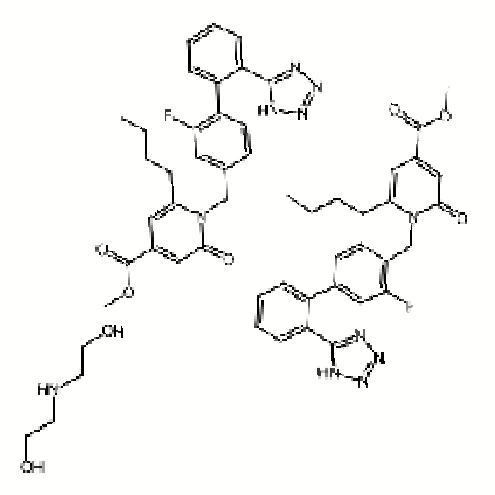 CCCCc1cc(C(=O)OC)cc(=O)n1Cc1ccc(-c2ccccc2-c2nnn[nH]2)c(F)c1.CCCCc1cc(C(=O)OC)cc(=O)n1Cc1ccc(-c2ccccc2-c2nnn[nH]2)cc1F.OCCNCCO